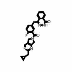 O=C(c1cc(Cc2n[nH]c(=O)c3ccccc23)ccc1F)N1Cc2cnc(CC3CC3)nc2C1